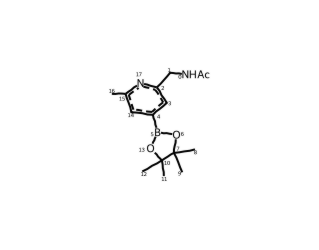 CC(=O)NCc1cc(B2OC(C)(C)C(C)(C)O2)cc(C)n1